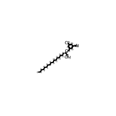 CCCCCCCCCCCCCCCCC[C@H](CO)OCc1cc(Cl)cc(C#N)c1